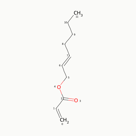 C=CC(=O)OCC=CCCCC